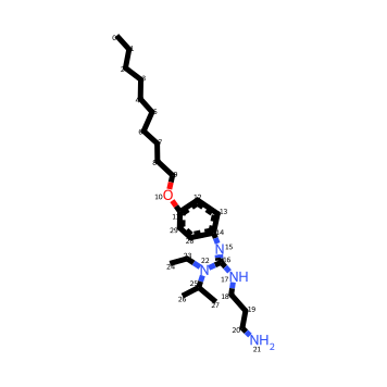 CCCCCCCCCCOc1ccc(/N=C(/NCCCN)N(CC)C(C)C)cc1